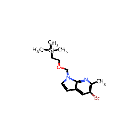 Cc1nc2c(ccn2COCC[Si](C)(C)C)cc1Br